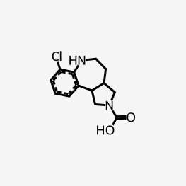 O=C(O)N1CC2CCNc3c(Cl)cccc3C2C1